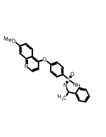 COc1ccc2c(Oc3ccc(S(N)(=O)=NC(C)c4ccccc4)cc3)ccnc2c1